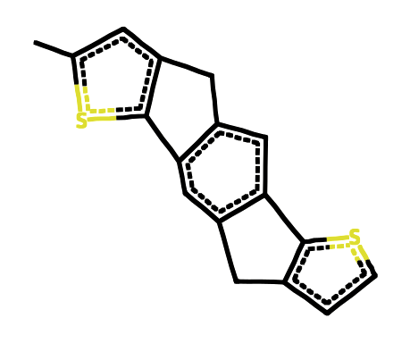 Cc1cc2c(s1)-c1cc3c(cc1C2)-c1sccc1C3